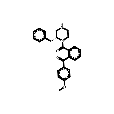 COc1ccc(C(=O)c2ccccc2C(=O)N2CCNC[C@H]2Cc2ccccc2)cc1